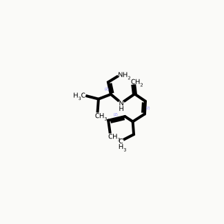 C=C(/C=C\C(/C=C\C)CC)N/C(=C\N)C(C)C